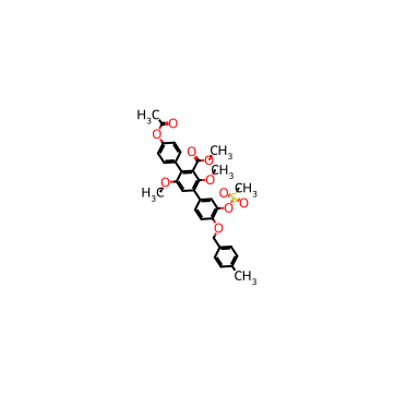 COC(=O)c1c(OC)c(-c2ccc(OCc3ccc(C)cc3)c(OS(C)(=O)=O)c2)cc(OC)c1-c1ccc(OC(C)=O)cc1